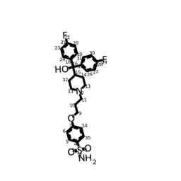 NS(=O)(=O)c1ccc(OCCCN2CCC(C(O)(c3ccc(F)cc3)c3ccc(F)cc3)CC2)cc1